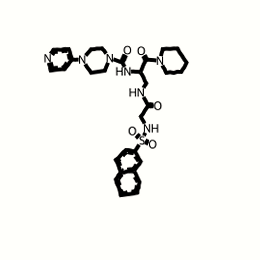 O=C(CNS(=O)(=O)c1ccc2ccccc2c1)NCC(NC(=O)N1CCN(c2ccncc2)CC1)C(=O)N1CCCCC1